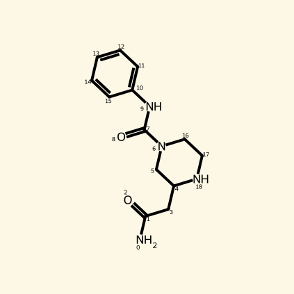 NC(=O)CC1CN(C(=O)Nc2ccccc2)CCN1